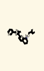 CCC(C)CO/N=C1\CCCc2ccc(-c3sc(-c4cccnc4)nc3C)nc21